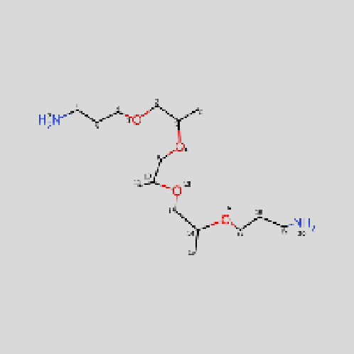 CC(COCCCN)OCC(C)OCC(C)OCCCN